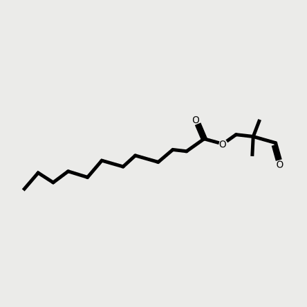 CCCCCCCCCCCC(=O)OCC(C)(C)C=O